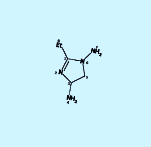 CCC1=NC(N)CN1N